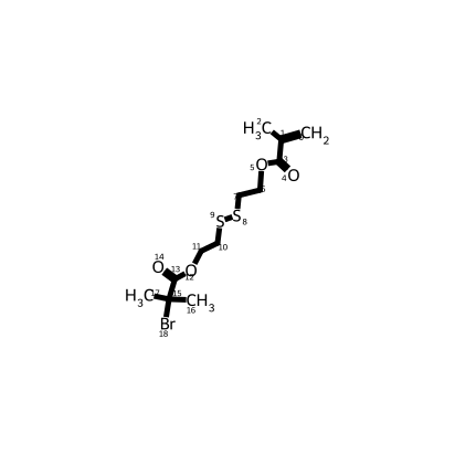 C=C(C)C(=O)OCCSSCCOC(=O)C(C)(C)Br